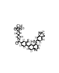 CS(=O)(=O)N1CC2(CN(C(=O)c3ccc(-c4ccc5nccc(Nc6ccc7scnc7c6)c5c4)c(F)c3)C2)C1